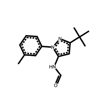 Cc1cccc(-n2nc(C(C)(C)C)cc2NC=O)c1